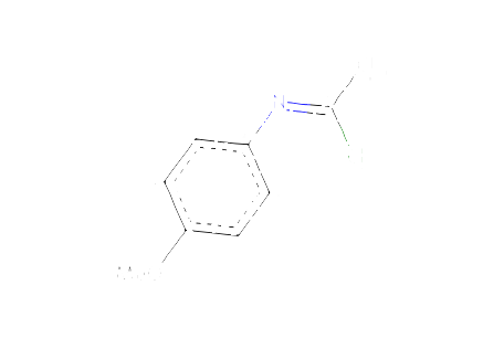 COc1ccc(N=C(Cl)C(F)(F)F)cc1